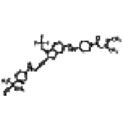 CON(C)CC(=O)N1CCC(NCc2ccc3c(c2)cc(C#CCNc2ccc(C(C)(C)C#N)nc2)n3CC(F)(F)F)CC1